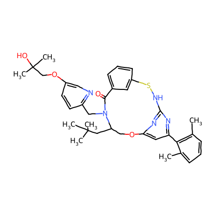 Cc1cccc(C)c1-c1cc2nc(n1)NSc1cccc(c1)C(=O)N(Cc1ccc(OCC(C)(C)O)cn1)C(CC(C)(C)C)CO2